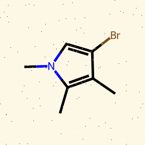 Cc1c(Br)cn(C)c1C